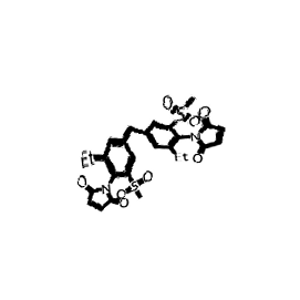 CCc1cc(Cc2cc(CC)c(N3C(=O)C=CC3=O)c(S(C)(=O)=O)c2)cc(S(C)(=O)=O)c1N1C(=O)C=CC1=O